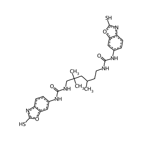 CC(CCNC(=O)Nc1ccc2nc(S)oc2c1)CC(C)(C)CNC(=O)Nc1ccc2nc(S)oc2c1